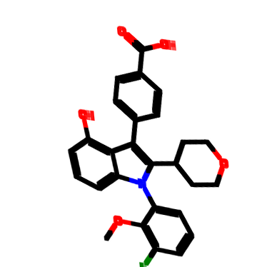 COc1c(F)cccc1-n1c(C2CCOCC2)c(-c2ccc(C(=O)O)cc2)c2c(O)cccc21